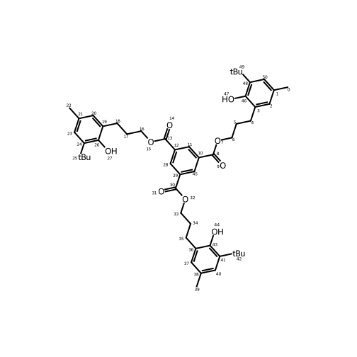 Cc1cc(CCCOC(=O)c2cc(C(=O)OCCCc3cc(C)cc(C(C)(C)C)c3O)cc(C(=O)OCCCc3cc(C)cc(C(C)(C)C)c3O)c2)c(O)c(C(C)(C)C)c1